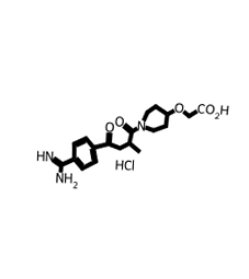 CC(CC(=O)c1ccc(C(=N)N)cc1)C(=O)N1CCC(OCC(=O)O)CC1.Cl